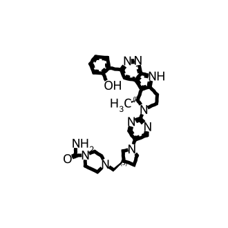 C[C@@H]1c2c([nH]c3nnc(-c4ccccc4O)cc23)CCN1c1ncc(N2CC[C@@H](CN3CCN(C(N)=O)CC3)C2)cn1